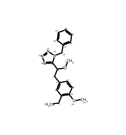 CCc1cc(CC(OC)c2nnnn2Cc2ccccc2)ccc1OC